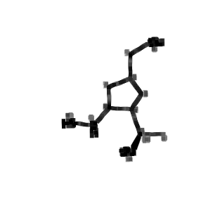 C[C@H](C1CC(CC(C)(C)C)CC1BS)C(C)(C)C